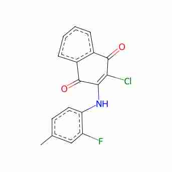 Cc1ccc(NC2=C(Cl)C(=O)c3ccccc3C2=O)c(F)c1